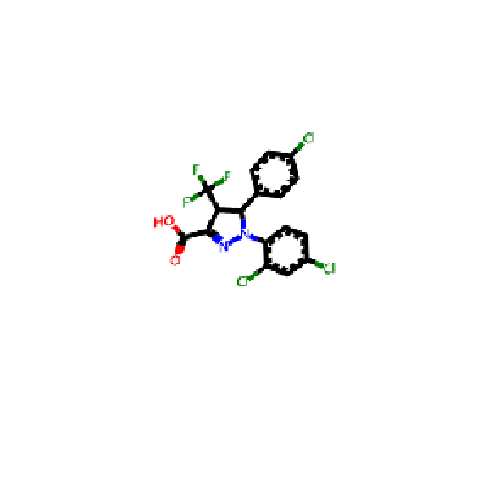 O=C(O)C1=NN(c2ccc(Cl)cc2Cl)C(c2ccc(Cl)cc2)C1C(F)(F)F